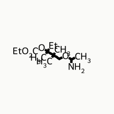 CCOC(=O)OC(C)(CC)C(C)(C)COC(C)N